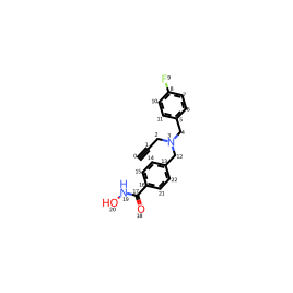 C#CCN(Cc1ccc(F)cc1)Cc1ccc(C(=O)NO)cc1